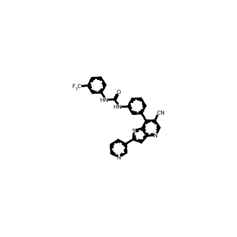 N#Cc1cnc2cc(-c3cccnc3)sc2c1-c1cccc(NC(=O)Nc2cccc(C(F)(F)F)c2)c1